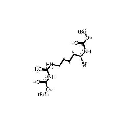 C=C(NCCCC[C@@H](NC(=O)OC(C)(C)C)C(C)=O)NC(=O)OC(C)(C)C